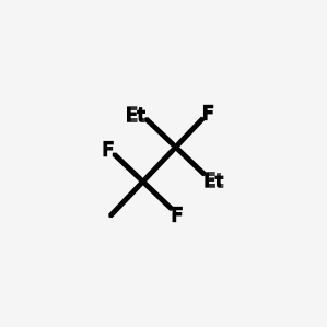 CCC(F)(CC)C(C)(F)F